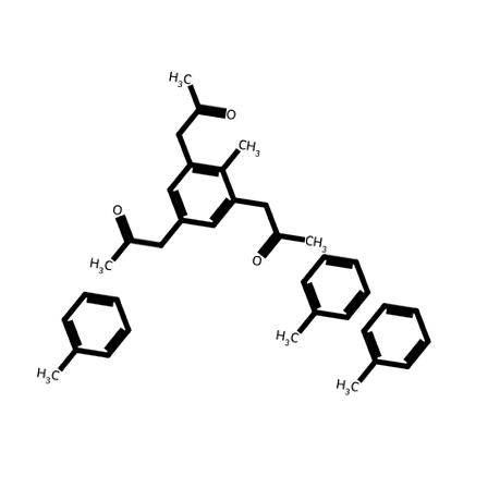 CC(=O)Cc1cc(CC(C)=O)c(C)c(CC(C)=O)c1.Cc1ccccc1.Cc1ccccc1.Cc1ccccc1